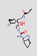 CCC(=O)NCCC[C@@](O)(c1cccc(Cl)c1)[C@@H]1CCCN(C(=O)NC(CNC)CC2CCCCC2)C1